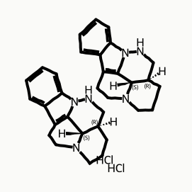 Cl.Cl.c1ccc2c(c1)c1c3n2NC[C@H]2CCCN(CC1)[C@H]32.c1ccc2c(c1)c1c3n2NC[C@H]2CCCN(CC1)[C@H]32